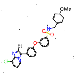 CCc1nc2c(Cl)cccn2c1-c1cccc(Oc2cccc(S(=O)(=O)N(C)CC3=CCC(OC)C=C3)c2)c1